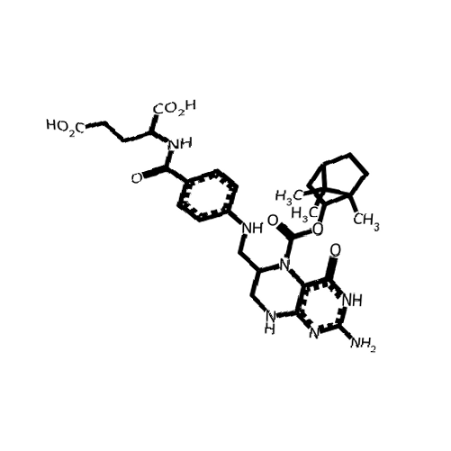 CC1(C)C2CCC1(C)C(OC(=O)N1c3c(nc(N)[nH]c3=O)NCC1CNc1ccc(C(=O)NC(CCC(=O)O)C(=O)O)cc1)C2